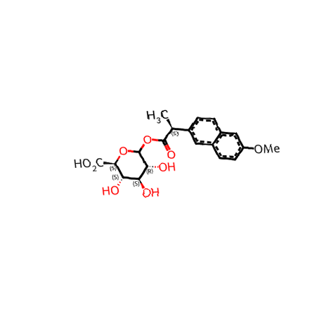 COc1ccc2cc([C@H](C)C(=O)OC3O[C@H](C(=O)O)[C@@H](O)[C@H](O)[C@H]3O)ccc2c1